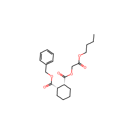 CCCCOC(=O)COC(=O)[C@@H]1CCCC[C@@H]1C(=O)OCc1ccccc1